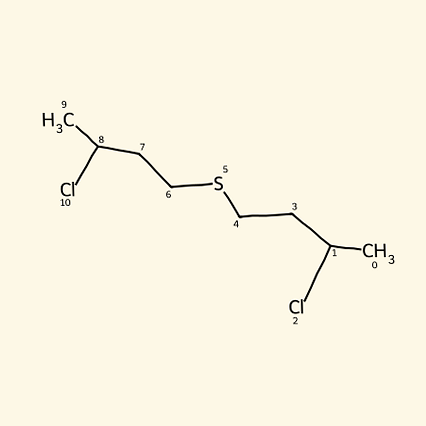 CC(Cl)CCSCCC(C)Cl